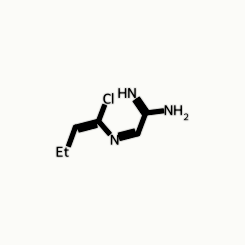 CC/C=C(Cl)\N=C/C(=N)N